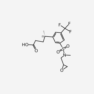 C[C@@H](CCC(=O)O)c1cc(C(F)(F)F)cc(S(=O)(=O)N(C)CC2CO2)c1